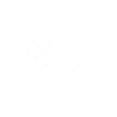 O=C(Nc1ccc(Nc2nc(N3CCCCC3)nc(N3CCCCC3)n2)cc1C(F)(F)F)c1ccc(Cl)cc1O